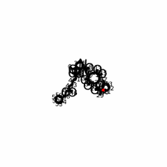 COc1ccnc(C(=O)N[C@H]2CC(=O)C(=O)[C@H](Cc3ccccc3)[C@H](OC(=O)C(C)C)[C@H](C)C(=O)C2=O)c1OC(=O)CCCCC(=O)OCc1ccccc1